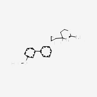 COc1cccc(-c2cccc([C@@H]3C[C@H]3[C@]3(C)CCSC(N)=N3)c2)c1